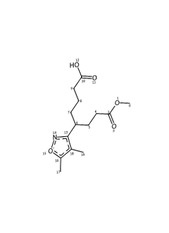 COC(=O)CCC(CCCC(=O)O)c1noc(C)c1C